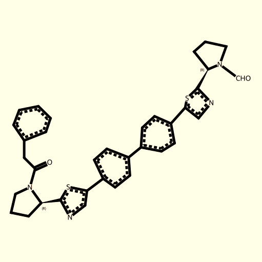 O=CN1CCC[C@@H]1c1ncc(-c2ccc(-c3ccc(-c4cnc([C@H]5CCCN5C(=O)Cc5ccccc5)s4)cc3)cc2)s1